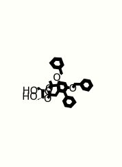 CC(=O)c1c(OCc2ccccc2)cc(OCc2ccccc2)c(-c2ccccc2)c1CC1O[C@H](CO)[C@@H](CO)O1